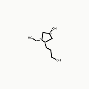 OCCCN1C[C@H](O)C[C@H]1CO